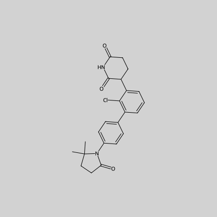 CC1(C)CCC(=O)N1c1ccc(-c2cccc(C3CCC(=O)NC3=O)c2Cl)cc1